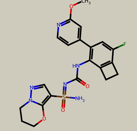 COc1cc(-c2cc(F)c3c(c2NC(=O)N=S(N)(=O)c2cnn4c2OCCC4)CC3)ccn1